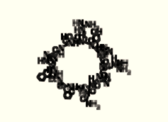 CCC1NC(=O)C(Cc2ccccc2)NC(=O)CSCC(C(=O)NCC(N)=O)NC(=O)C(Cc2cncn2C)NC(=O)C(CCCNC(=N)N)NC(=O)C(Cc2c[nH]cn2)NC(=O)C(Cc2ccc(O)cc2)N(C)C(=O)C(CCCNC(=N)N)NC(=O)C(CO)NC(=O)CNC(=O)C(Cc2c[nH]cn2)NC(=O)C(Cc2ccc3ccccc3c2)NC1=O